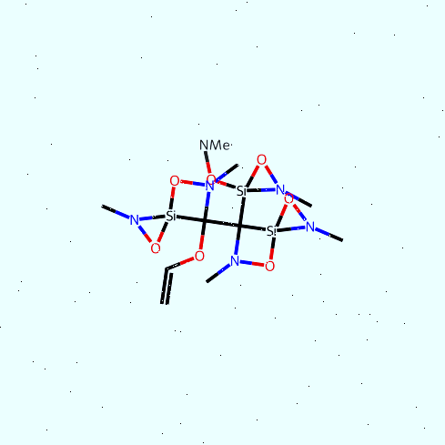 C=COC1(C2([Si]3(O[N]C)ON3C)N(C)O[Si]23ON3C)N(C)O[Si]12ON2C